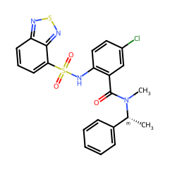 C[C@H](c1ccccc1)N(C)C(=O)c1cc(Cl)ccc1NS(=O)(=O)c1cccc2nsnc12